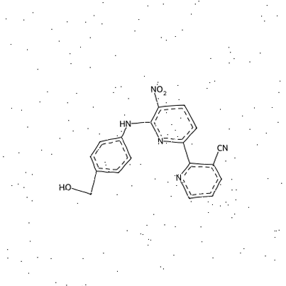 N#Cc1cccnc1-c1ccc([N+](=O)[O-])c(Nc2ccc(CO)cc2)n1